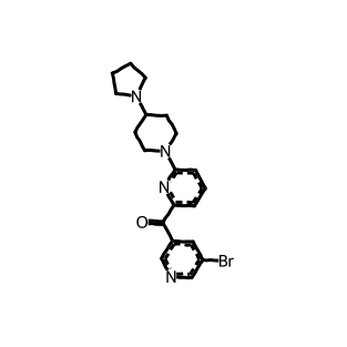 O=C(c1cncc(Br)c1)c1cccc(N2CCC(N3CCCC3)CC2)n1